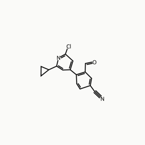 N#Cc1ccc(-c2cc(Cl)nc(C3CC3)c2)c(C=O)c1